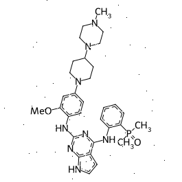 COc1cc(N2CCC(N3CCN(C)CC3)CC2)ccc1Nc1nc(Nc2ccccc2P(C)(C)=O)c2cc[nH]c2n1